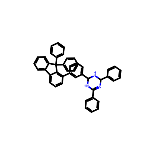 c1ccc(C2=NC(c3ccccc3)NC(c3cccc(-c4cccc5c4C(c4ccccc4)(c4ccccc4)c4ccccc4-5)c3)N2)cc1